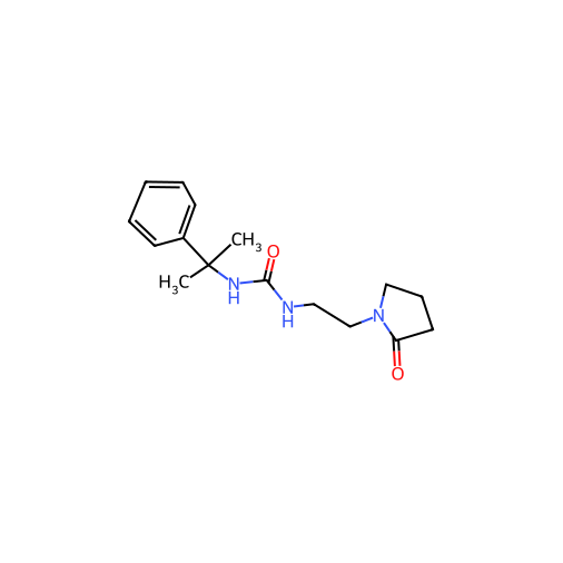 CC(C)(NC(=O)NCCN1CCCC1=O)c1ccccc1